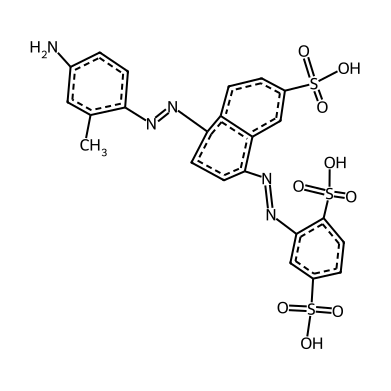 Cc1cc(N)ccc1N=Nc1ccc(N=Nc2cc(S(=O)(=O)O)ccc2S(=O)(=O)O)c2cc(S(=O)(=O)O)ccc12